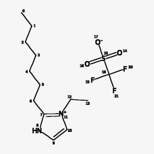 CCCCCCCc1[nH]cc[n+]1CC.O=S(=O)([O-])C(F)(F)F